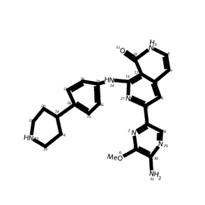 COc1nc(-c2cc3cc[nH]c(=O)c3c(Nc3ccc(C4CCNCC4)cc3)n2)cnc1N